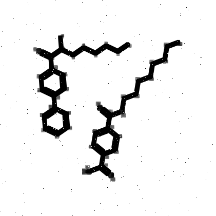 CCCCCCC(C)C(=O)c1ccc(-c2ccccc2)cc1.CCCCCCCCOC(=O)c1ccc(C(=O)O)cc1